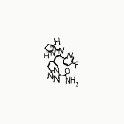 NC(=O)c1nnc2ccc(-c3c(-c4ccc(F)cn4)nc4n3[C@H]3CC[C@@H]4C3)cn12